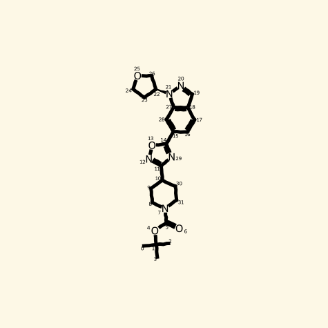 CC(C)(C)OC(=O)N1CCC(c2noc(-c3ccc4cnn([C@H]5CCOC5)c4c3)n2)CC1